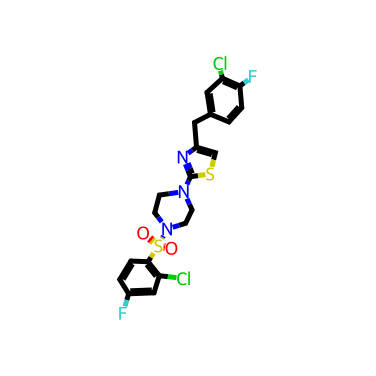 O=S(=O)(c1ccc(F)cc1Cl)N1CCN(c2nc(Cc3ccc(F)c(Cl)c3)cs2)CC1